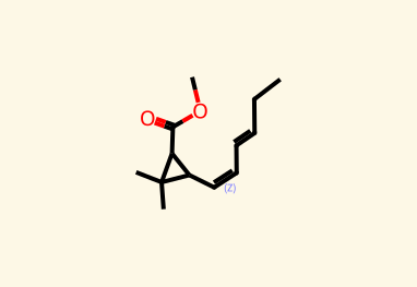 CCC=C/C=C\C1C(C(=O)OC)C1(C)C